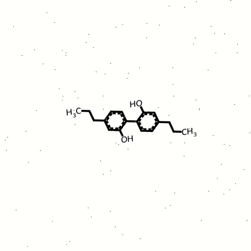 CCCc1ccc(-c2ccc(CCC)cc2O)c(O)c1